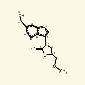 COCC1CN(c2coc3cc(CO)ccc23)C(=O)O1